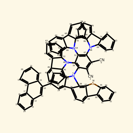 N#Cc1c(C#N)c(-n2c3ccc(-c4cc5ccccc5c5ccccc45)cc3c3ccc4c5ccccc5sc4c32)c(-n2c3ccccc3c3ccccc32)c(-n2c3ccccc3c3ccccc32)c1-n1c2ccccc2c2ccccc21